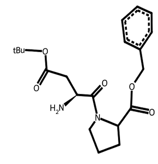 CC(C)(C)OC(=O)C[C@H](N)C(=O)N1CCCC1C(=O)OCc1ccccc1